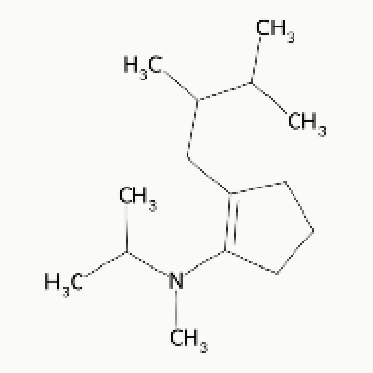 CC(C)C(C)CC1=C(N(C)C(C)C)CCC1